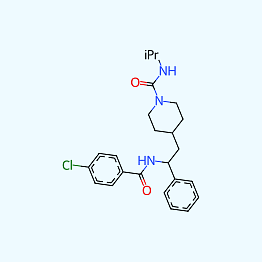 CC(C)NC(=O)N1CCC(CC(NC(=O)c2ccc(Cl)cc2)c2ccccc2)CC1